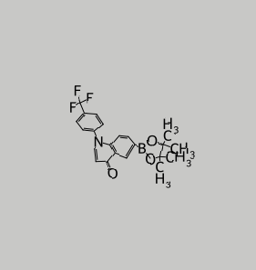 CC1(C)OB(c2ccc3c(c2)c(=O)ccn3-c2ccc(C(F)(F)F)cc2)OC1(C)C